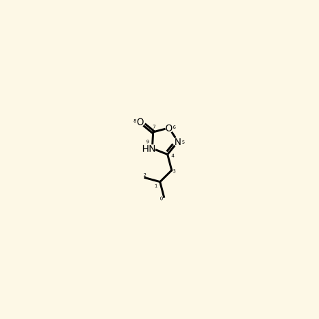 CC(C)Cc1noc(=O)[nH]1